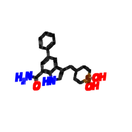 NC(=O)c1cc(-c2ccccc2)cc2c(CC3CCS(O)(O)CC3)c[nH]c12